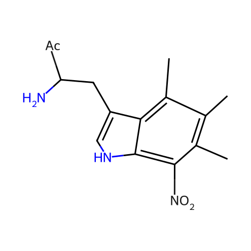 CC(=O)C(N)Cc1c[nH]c2c([N+](=O)[O-])c(C)c(C)c(C)c12